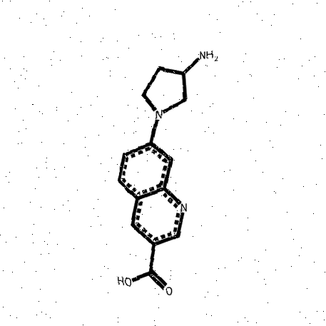 NC1CCN(c2ccc3cc(C(=O)O)cnc3c2)C1